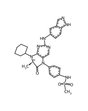 C[C@@H]1C(=O)N(c2ccc(NS(C)(=O)=O)cc2)c2cnc(Nc3ccc4[nH]ncc4c3)nc2N1C1CCCCC1